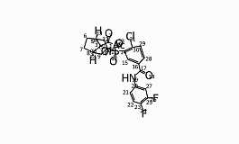 CC(=O)C(=O)[C@@]1(O)[C@@H]2CC[C@H]1C[C@H](S(=O)(=O)c1cc(C(=O)Nc3ccc(F)c(F)c3)ccc1Cl)C2